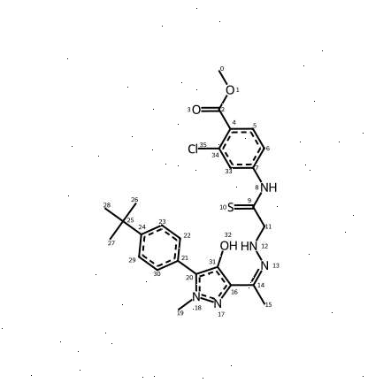 COC(=O)c1ccc(NC(=S)CNN=C(C)c2nn(C)c(-c3ccc(C(C)(C)C)cc3)c2O)cc1Cl